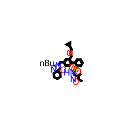 CCCCC1=NC2(CCCCC2)C(=O)N1Cc1ccc(-c2ccccc2S(=O)(=O)Nc2noc(C)c2C)c(COCC2CC2)c1